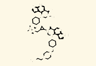 CCN1CN([C@H]2CC[C@H](CN(C)S(=O)(=O)CC3CC3N3CN([C@H]4CC[C@H](CN5CCN(CCC#N)CC5)CC4)c4c(cnc5[nH]ccc45)C3=O)CC2)c2c(cnc3[nH]ccc23)C1=O